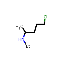 CCNC(C)CCCCl